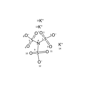 O=S(=O)([O-])N(S(=O)(=O)[O-])S(=O)(=O)[O-].[K+].[K+].[K+]